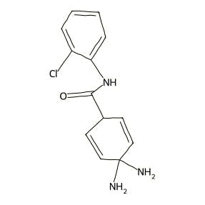 NC1(N)C=CC(C(=O)Nc2ccccc2Cl)C=C1